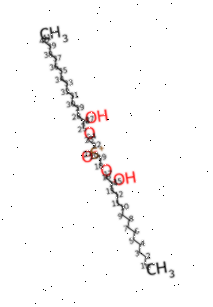 CCCCCCCCCCCCCCC(O)COCC[S+]([O-])CCOCC(O)CCCCCCCCCCCCCC